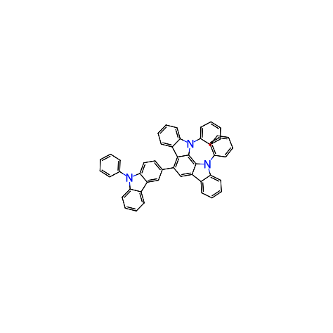 c1ccc(-n2c3ccccc3c3cc(-c4cc5c6ccccc6n(-c6ccccc6)c5c5c4c4ccccc4n5-c4ccccc4)ccc32)cc1